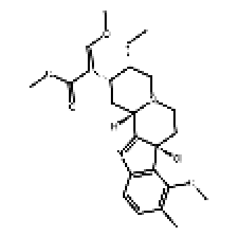 CC[C@@H]1CN2CC[C@@]3(O)C(=Nc4ccc(C)c(OC)c43)[C@@H]2C[C@@H]1/C(=C\OC)C(=O)OC